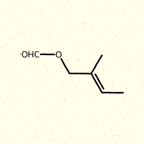 C/C=C(\C)CO[C]=O